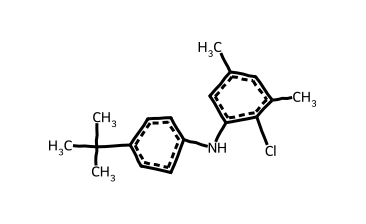 Cc1cc(C)c(Cl)c(Nc2ccc(C(C)(C)C)cc2)c1